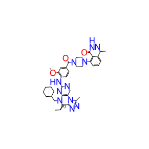 CC[C@@H]1c2nnc(C)n2-c2cnc(Nc3ccc(C(=O)N4CCN(c5cccc6c(C)n[nH]c(=O)c56)CC4)cc3OC)nc2N1CC1CCCCC1